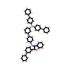 c1ccc(-c2ccc(N(c3ccc(-c4ccccc4)cc3)c3cccc(-c4ccc(-n5c6ccc(-c7ccccc7)cc6c6oc7ccccc7c65)cc4)c3)cc2)cc1